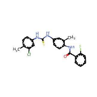 Cc1ccc(NC(=S)Nc2ccc(NC(=O)c3ccccc3F)c(C)c2)cc1Cl